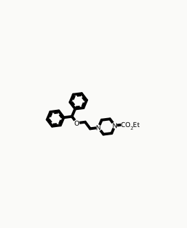 CCOC(=O)N1CCN(CCOC(c2ccccc2)c2ccccc2)CC1